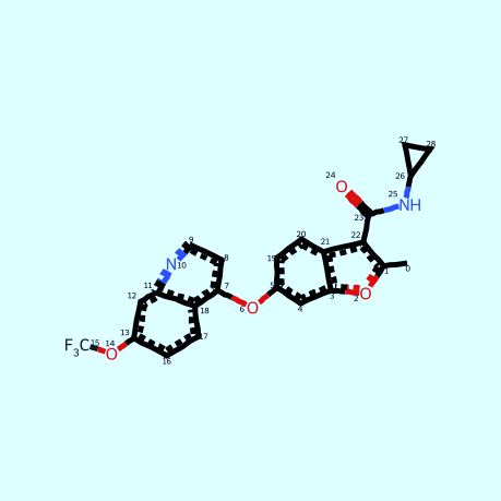 Cc1oc2cc(Oc3ccnc4cc(OC(F)(F)F)ccc34)ccc2c1C(=O)NC1CC1